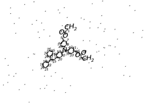 C=CC(=O)OCc1ccc(N(c2ccc(C=C(c3ccccc3)c3ccccc3)cc2)c2ccc(COC(=O)C=C)cc2)cc1